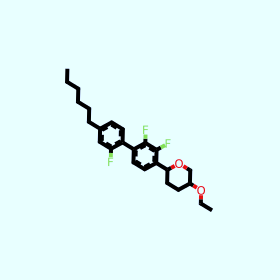 CCCCCCc1ccc(-c2ccc(C3CCC(OCC)CO3)c(F)c2F)c(F)c1